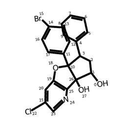 OC1CC(c2ccccc2)C2(c3ccc(Br)cc3)Oc3cc(Cl)cnc3C12O